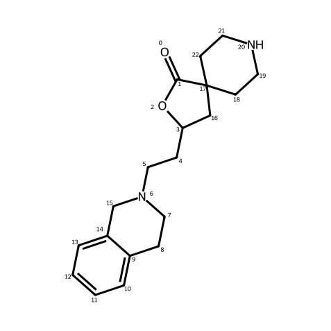 O=C1OC(CCN2CCc3ccccc3C2)CC12CCNCC2